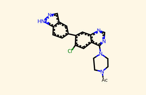 CC(=O)N1CCN(c2ncnc3cc(-c4ccc5[nH]ncc5c4)c(Cl)cc23)CC1